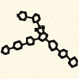 c1ccc(-c2ccc(-c3ccc(-c4cc(-c5ccc(-c6ccc(-c7ccccc7)cc6)cc5)c5nn(-c6cccc(-c7ccncc7)c6)nc5c4)cc3)cc2)cc1